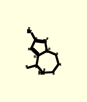 CC1NCCCn2nc(Br)cc21